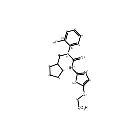 O=C(O)CSc1cnc(NC(=O)N(CC2CCCC2)c2ccccc2F)s1